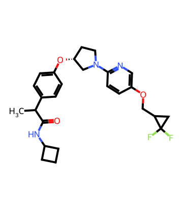 CC(C(=O)NC1CCC1)c1ccc(O[C@@H]2CCN(c3ccc(OCC4CC4(F)F)cn3)C2)cc1